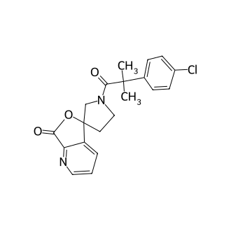 CC(C)(C(=O)N1CCC2(C1)OC(=O)c1ncccc12)c1ccc(Cl)cc1